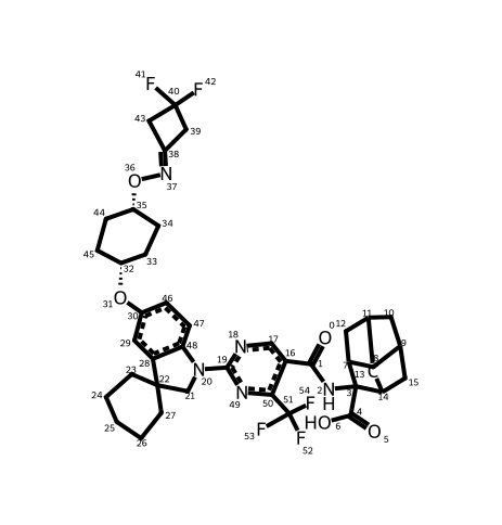 O=C(NC1(C(=O)O)C2CC3CC(C2)CC1C3)c1cnc(N2CC3(CCCCC3)c3cc(O[C@H]4CC[C@@H](ON=C5CC(F)(F)C5)CC4)ccc32)nc1C(F)(F)F